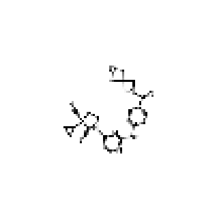 N#C[C@@]1(C2CC2)CCN(c2ccnc(Nc3ccc(C(=O)N4CC5(COC5)C4)cc3)n2)C1=O